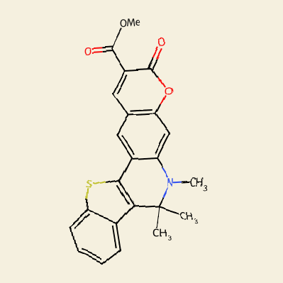 COC(=O)c1cc2cc3c(cc2oc1=O)N(C)C(C)(C)c1c-3sc2ccccc12